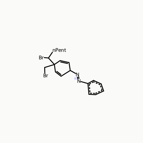 CCCCCC(Br)C1(CBr)C=CC(/N=N/c2ccccc2)C=C1